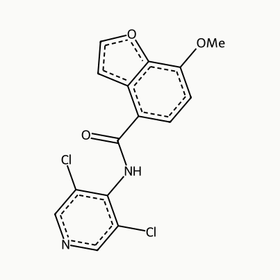 COc1ccc(C(=O)Nc2c(Cl)cncc2Cl)c2ccoc12